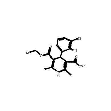 COC(=O)C1=C(C)NC(C)=C(C(=O)OCC(C)=O)C1c1cccc(Cl)c1Cl